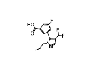 CCCn1ncc(C(F)F)c1-c1cc(F)cc(C(=O)O)c1